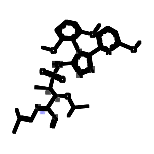 C=N/C(=N\C=C(C)C)[C@H](OC(C)C)[C@@H](C)S(=O)(=O)Nc1nnc(-c2cccc(OC)n2)n1-c1c(OC)cccc1OC